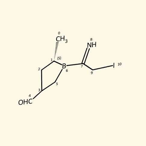 C[C@H]1CC(C=O)CB1C(=N)CI